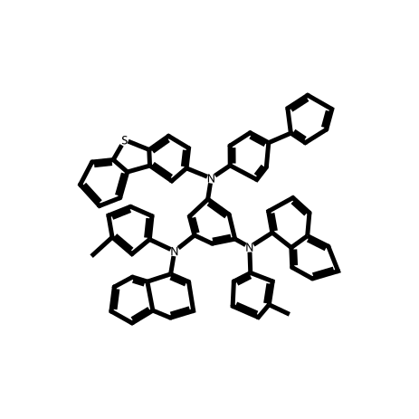 Cc1cccc(N(c2cc(N(c3ccc(-c4ccccc4)cc3)c3ccc4sc5ccccc5c4c3)cc(N(c3cccc(C)c3)c3cccc4ccccc34)c2)c2cccc3ccccc23)c1